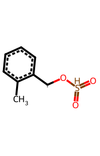 Cc1ccccc1[CH]O[SH](=O)=O